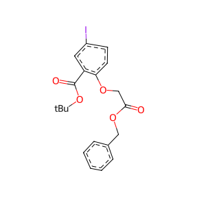 CC(C)(C)OC(=O)c1cc(I)ccc1OCC(=O)OCc1ccccc1